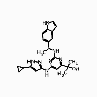 C[C@H](Nc1nc(Nc2cc(C3CC3)[nH]n2)cc(C(C)(C)O)n1)c1ccc2[nH]ccc2c1